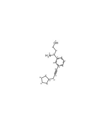 NC(CCO)c1cccc(C#CCC2CCCC2)c1